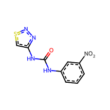 O=C(Nc1cccc([N+](=O)[O-])c1)Nc1csnn1